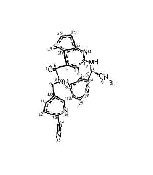 C[C@H](Nc1nc(C(=O)NCc2ccc(C#N)nc2)c2sccc2n1)c1ccccn1